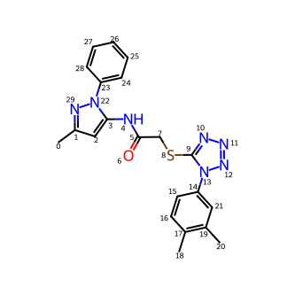 Cc1cc(NC(=O)CSc2nnnn2-c2ccc(C)c(C)c2)n(-c2ccccc2)n1